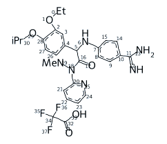 CCOc1cc(C(Nc2ccc(C(=N)N)cc2)C(=O)N(NC)c2ccccn2)ccc1OC(C)C.O=C(O)C(F)(F)F